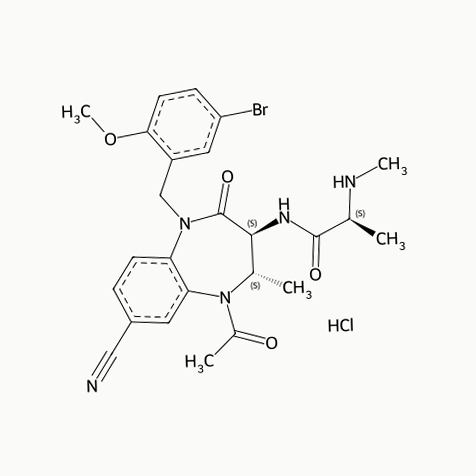 CN[C@@H](C)C(=O)N[C@@H]1C(=O)N(Cc2cc(Br)ccc2OC)c2ccc(C#N)cc2N(C(C)=O)[C@H]1C.Cl